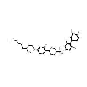 CCCCCC1CCC(c2ccc(C3CCC(C(F)(F)Oc4cc(F)c(-c5ccc(Cl)c(F)c5)c(F)c4)CC3)c(F)c2)CC1